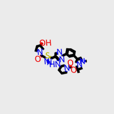 Cn1cc(-c2cccc(-c3ncc(-c4nnc(C(=O)N5CCC(O)C5)s4)c(NC4CCCN(C(=O)OC(C)(C)C)C4)n3)c2)cn1